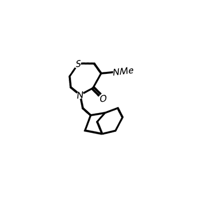 CNC1CSCCN(CC2CC3CCCC2C3)C1=O